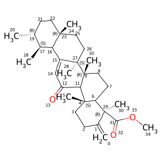 C=C1CC[C@@]2(C)C(CC[C@]3(C)C2C(=O)C=C2C4[C@@H](C)[C@H](C)CC[C@]4(C)CC[C@]23C)[C@@]1(C)C(=O)OC